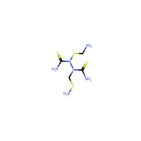 NCSN(C(N)=S)N(CSN)C(N)=S